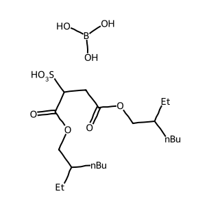 CCCCC(CC)COC(=O)CC(C(=O)OCC(CC)CCCC)S(=O)(=O)O.OB(O)O